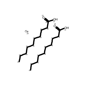 CCCCCCCCCC(=O)O.CCCCCCCCCC(=O)O.[Te]